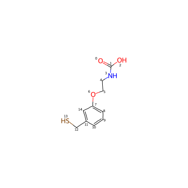 O=C(O)NCCOc1cccc(CS)c1